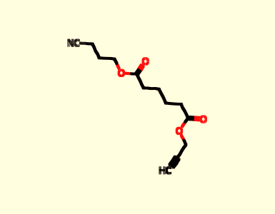 C#CCOC(=O)CCCCC(=O)OCCCC#N